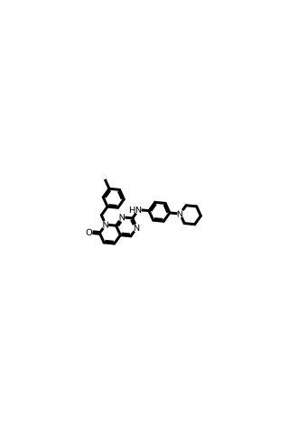 Cc1cccc(Cn2c(=O)ccc3cnc(Nc4ccc(N5CCCCC5)cc4)nc32)c1